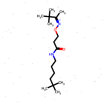 C/C(=N/OCCC(=O)NCCCCC(C)(C)C)C(C)(C)C